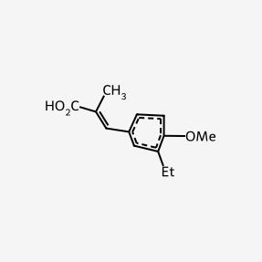 CCc1cc(C=C(C)C(=O)O)ccc1OC